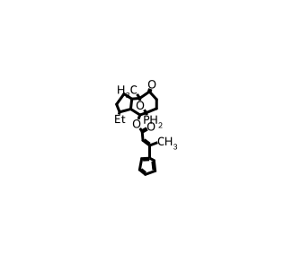 CCC1CCC2C1C(OC(=O)/C=C(\C)c1ccccc1)C1(P)CCC(=O)C2(C)O1